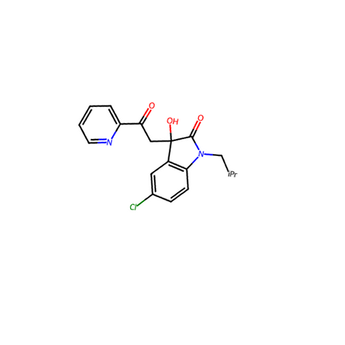 CC(C)CN1C(=O)C(O)(CC(=O)c2ccccn2)c2cc(Cl)ccc21